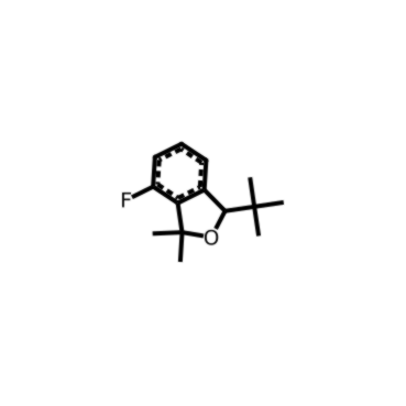 CC1(C)OC(C(C)(C)C)c2cccc(F)c21